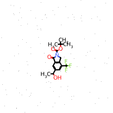 CC(O)c1cc2c(c(C(F)(F)F)c1)CN(C(=O)OC(C)(C)C)C2=O